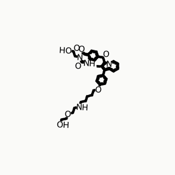 Cc1c(-c2ccc(OCCCCCNCCOCCO)cc2)c2ccccn2c1C(=O)c1ccc2c(=O)n(CC(=O)O)c(=O)[nH]c2c1